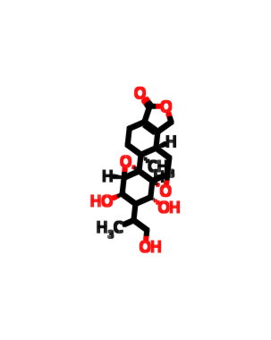 CC(CO)C1[C@@H](O)[C@@H]2O[C@]23[C@]2(O[C@H]2C[C@H]2C4=C(CC[C@@]23C)C(=O)OC4)[C@@H]1O